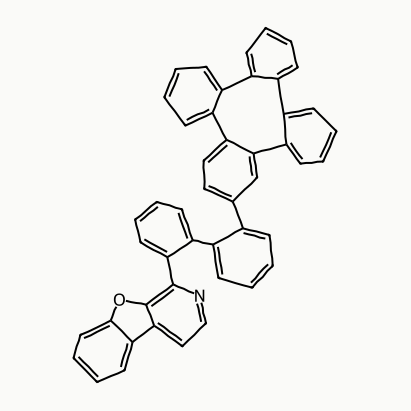 c1ccc(-c2ccccc2-c2nccc3c2oc2ccccc23)c(-c2ccc3c(c2)-c2ccccc2-c2ccccc2-c2ccccc2-3)c1